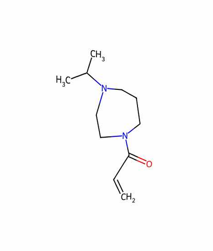 C=CC(=O)N1CCCN(C(C)C)CC1